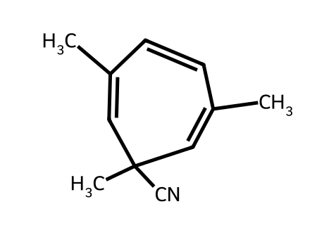 CC1=CC(C)(C#N)C=C(C)C=C1